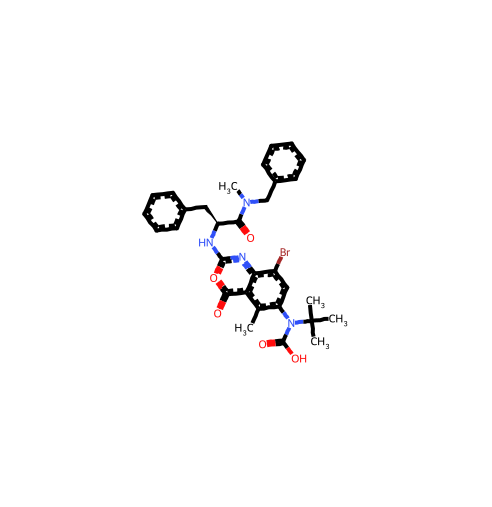 Cc1c(N(C(=O)O)C(C)(C)C)cc(Br)c2nc(N[C@@H](Cc3ccccc3)C(=O)N(C)Cc3ccccc3)oc(=O)c12